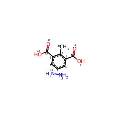 Cc1c(C(=O)O)cccc1C(=O)O.NN